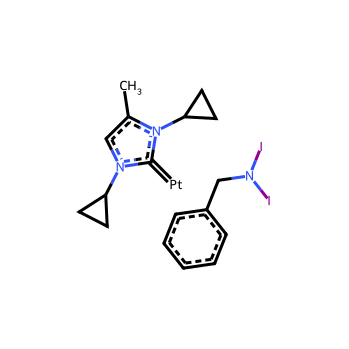 Cc1cn(C2CC2)[c](=[Pt])n1C1CC1.IN(I)Cc1ccccc1